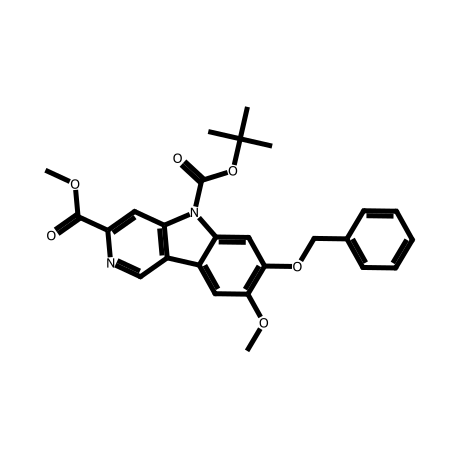 COC(=O)c1cc2c(cn1)c1cc(OC)c(OCc3ccccc3)cc1n2C(=O)OC(C)(C)C